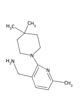 Cc1ccc(CN)c(N2CCC(C)(C)CC2)n1